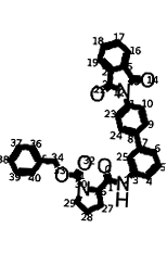 O=C(Nc1cccc(-c2ccc(N3C(=O)c4ccccc4C3=O)cc2)c1)C1CCCN1C(=O)OCc1ccccc1